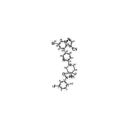 Cc1ccc(F)cc1C(=O)NC1(C)CCN(c2ccc(-c3cc(Br)cn4ncc(C#N)c34)cn2)CC1